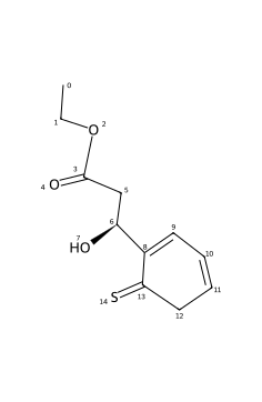 CCOC(=O)C[C@H](O)C1=CC=CCC1=S